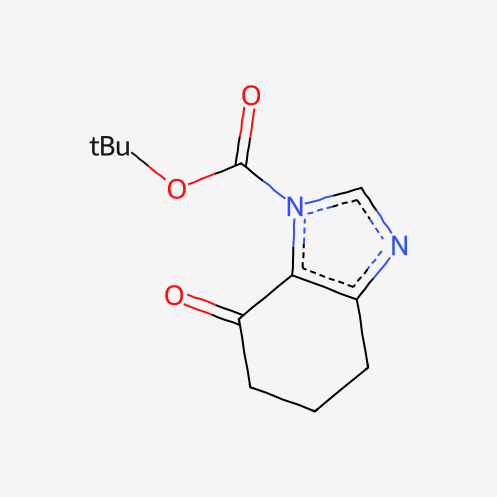 CC(C)(C)OC(=O)n1cnc2c1C(=O)CCC2